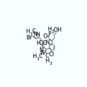 Cc1c(-c2c(Cl)ccc3c(CCCO)c(C(=O)P)n(C)c23)c(COCc2cc(Br)n(C)n2)nn1C